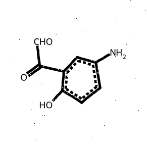 Nc1ccc(O)c(C(=O)C=O)c1